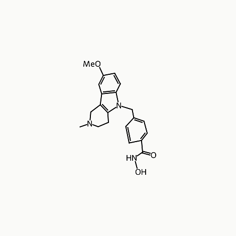 COc1ccc2c(c1)c1c(n2Cc2ccc(C(=O)NO)cc2)CCN(C)C1